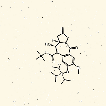 C=C1C[C@H]2[C@H](O)N(C(=O)OC(C)(C)C)c3cc(O[Si](C(C)C)(C(C)C)C(C)C)c(OC)cc3C(=O)N2C1